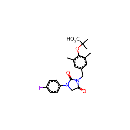 Cc1cc(CN2C(=O)CN(c3ccc(I)cc3)C2=O)cc(C)c1OC(C)(C)C(=O)O